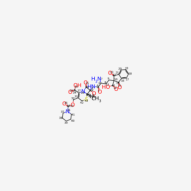 CO[C@@]1(NC(=O)C(N)CCC2(C(=O)O)C(=O)c3ccccc3C2=O)C(=O)N2C(C(=O)O)=C(COC(=O)N3CCCCC3)CS[C@H]21